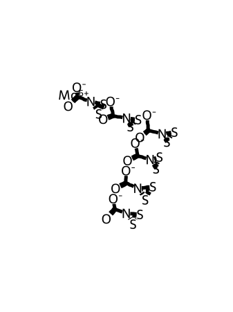 O=C([O-])n1ss1.O=C([O-])n1ss1.O=C([O-])n1ss1.O=C([O-])n1ss1.O=C([O-])n1ss1.O=C([O-])n1ss1.[Mo+6]